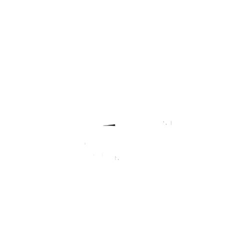 N#CC(c1ccccc1)(C1CCNCC1)[C@@H]1CCC[C@H]1O